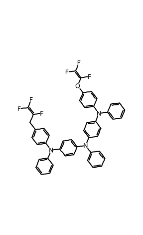 FC(F)=C(F)Cc1ccc(N(c2ccccc2)c2ccc(N(c3ccccc3)c3ccc(N(c4ccccc4)c4ccc(OC(F)=C(F)F)cc4)cc3)cc2)cc1